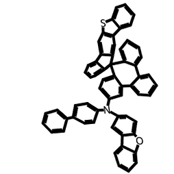 c1ccc(-c2ccc(N(c3ccc4c(c3)-c3ccccc3-c3ccccc3C43c4ccccc4-c4cc5sc6ccccc6c5cc43)c3ccc4oc5ccccc5c4c3)cc2)cc1